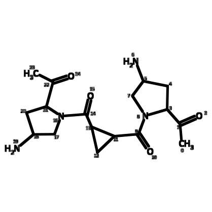 CC(=O)C1CC(N)CN1C(=O)C1CC1C(=O)N1CC(N)CC1C(C)=O